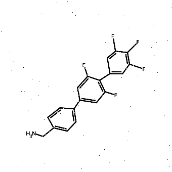 NCc1ccc(-c2cc(F)c(-c3cc(F)c(F)c(F)c3)c(F)c2)cc1